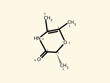 CC1=C(C)O[C@H](C)C(=O)N1